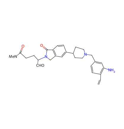 C=Cc1ccc(CN2CCC(c3ccc4c(c3)CN(C(C=O)CCC(=O)NC)C4=O)CC2)cc1N